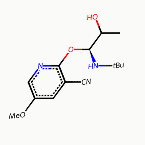 COc1cnc(O[C@H](NC(C)(C)C)C(C)O)c(C#N)c1